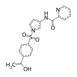 C=C(O)c1ccc(S(=O)(=O)n2ccc(NC(=O)c3ccccn3)c2)cc1